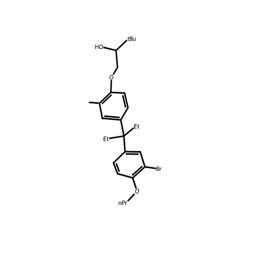 CCCOc1ccc(C(CC)(CC)c2ccc(OCC(O)C(C)(C)C)c(C)c2)cc1Br